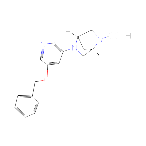 O=C(O)N1C[C@@H]2C[C@H]1CN2c1cncc(OCc2ccccc2)c1